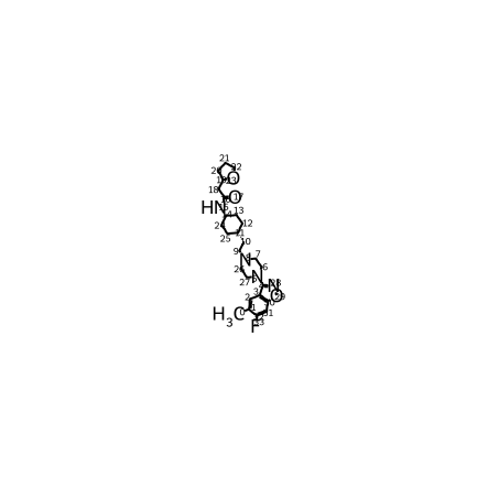 Cc1cc2c(N3CCN(CC[C@H]4CC[C@H](NC(=O)CC5CCCO5)CC4)CC3)noc2cc1F